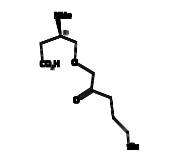 CN[C@@H](COCC(=O)CCCC(C)(C)C)CC(=O)O